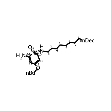 CCCCCCCCCCCCCCCCCCNc1cc(OCCCC)nc(N)[n+]1[O-]